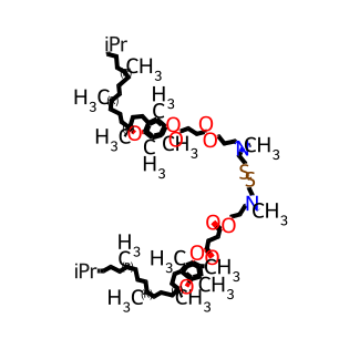 Cc1c(C)c2c(c(C)c1OC(=O)CCC(=O)OCCCN(C)CCSSCCN(C)CCCOC(=O)CCC(=O)Oc1c(C)c(C)c3c(c1C)CC[C@@](C)(CCC[C@H](C)CCC[C@H](C)CCCC(C)C)O3)CC[C@@](C)(CCC[C@H](C)CCC[C@H](C)CCCC(C)C)O2